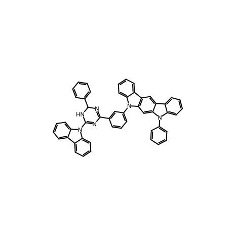 c1ccc(C2N=C(c3cccc(-n4c5ccccc5c5cc6c7ccccc7n(-c7ccccc7)c6cc54)c3)N=C(n3c4ccccc4c4ccccc43)N2)cc1